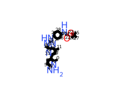 Cc1nc(N)ccc1-c1cc(C)c2nc(N[C@H]3CC[C@H](NC(=O)OC(C)(C)C)CC3)ncc2n1